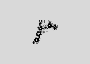 Cn1nnnc1-c1cc(Br)cc(NC(=O)N[C@H]2CN(CCO)CC[C@H]2CN2CCCC(Cc3ccc(F)cc3)C2)c1